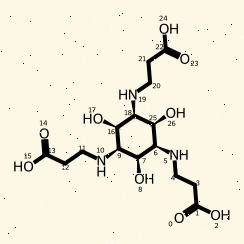 O=C(O)CCN[C@H]1[C@@H](O)[C@@H](NCCC(=O)O)[C@@H](O)[C@@H](NCCC(=O)O)[C@H]1O